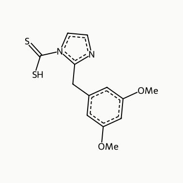 COc1cc(Cc2nccn2C(=S)S)cc(OC)c1